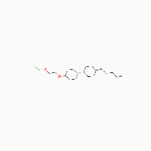 CCCCC[C@H]1CC[C@H](C2CCC(OCCOCC)CC2)CC1